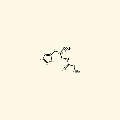 CC(C)(C)OC(=O)NC[C@@H](Cc1cccs1)C(=O)O